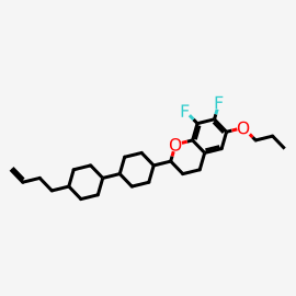 C=CCCC1CCC(C2CCC(C3CCc4cc(OCCC)c(F)c(F)c4O3)CC2)CC1